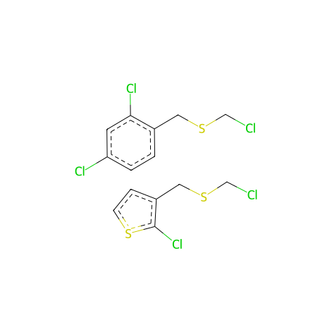 ClCSCc1ccc(Cl)cc1Cl.ClCSCc1ccsc1Cl